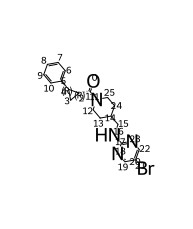 O=C([C@@H]1C[C@H]1c1ccccc1)N1CCC(CNc2ncc(Br)cn2)CC1